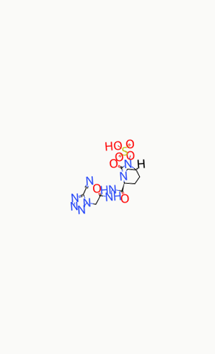 N#Cc1nnnn1CC(=O)NNC(=O)[C@@H]1CC[C@@H]2CN1C(=O)N2OS(=O)(=O)O